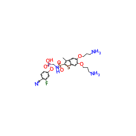 Cc1c(S(=O)(=O)NCP(=O)(O)Oc2ccc(C#N)c(F)c2)sc2cc(OCCCN)c(OCCCN)cc12